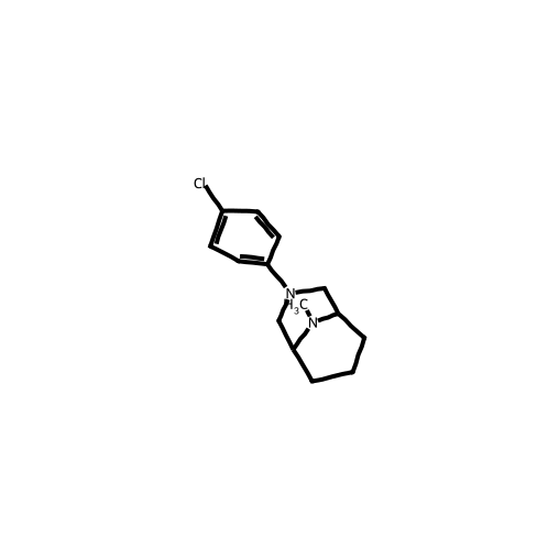 CN1C2CCCC1CN(c1ccc(Cl)cc1)C2